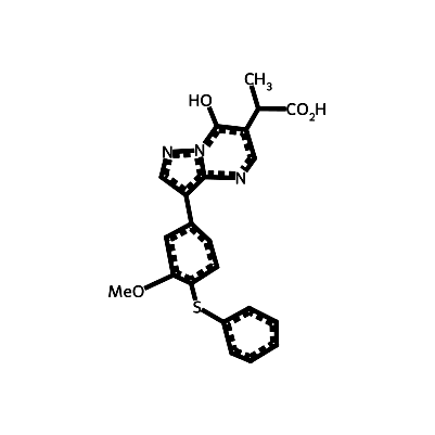 COc1cc(-c2cnn3c(O)c(C(C)C(=O)O)cnc23)ccc1Sc1ccccc1